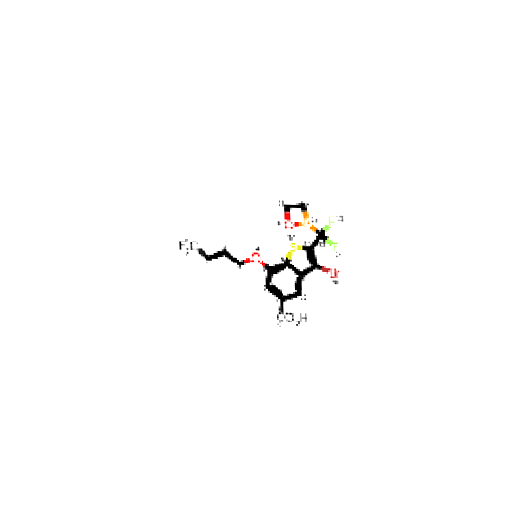 O=C(O)c1cc(OCCCC(F)(F)F)c2sc(C(F)(F)P3CCO3)c(Br)c2c1